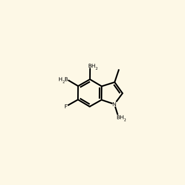 Bc1c(F)cc2c(c(C)cn2B)c1B